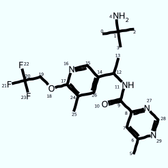 CC(C)(C)N.Cc1cc(C(=O)NC(C)c2cnc(OCC(F)(F)F)c(C)c2)ncn1